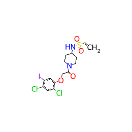 C=CS(=O)(=O)NC1CCN(C(=O)COc2cc(I)c(Cl)cc2Cl)CC1